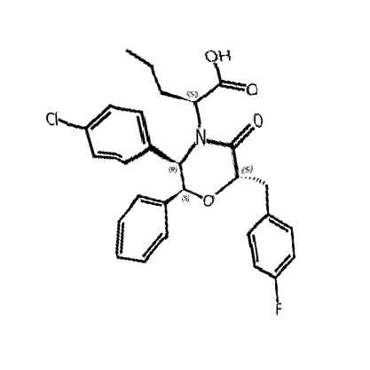 CCC[C@@H](C(=O)O)N1C(=O)[C@H](Cc2ccc(F)cc2)O[C@@H](c2ccccc2)[C@H]1c1ccc(Cl)cc1